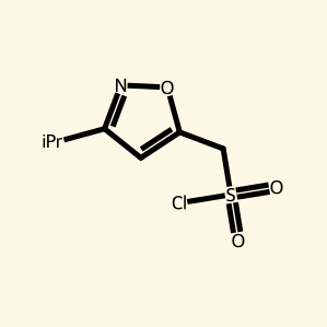 CC(C)c1cc(CS(=O)(=O)Cl)on1